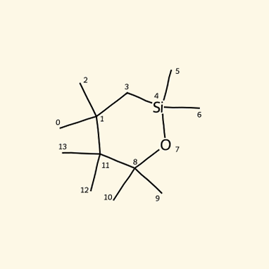 CC1(C)C[Si](C)(C)OC(C)(C)C1(C)C